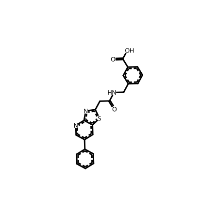 O=C(Cc1nc2ncc(-c3ccccc3)cc2s1)NCc1cccc(C(=O)O)c1